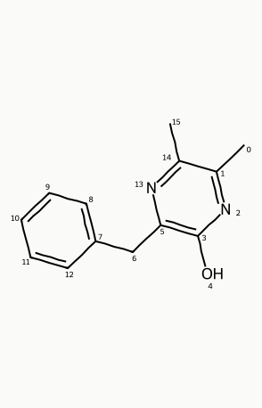 Cc1nc(O)c(Cc2ccccc2)nc1C